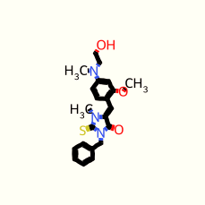 COc1cc(N(C)CCO)ccc1C=C1C(=O)N(Cc2ccccc2)C(=S)N1C